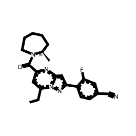 CCc1cc(C(=O)N2CCCCC[C@H]2C)nc2cc(-c3ccc(C#N)cc3F)nn12